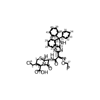 O=C(O)C1=C(CCl)CS[C@@H]2[C@H](NC(=O)/C(=N\OCF)c3nsc(NC(c4ccccc4)(c4ccccc4)c4ccccc4)n3)C(=O)N12